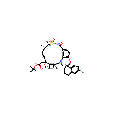 C[C@@H]1[C@@H](C)C/C=C/[C@@](O)(CC(=O)OC(C)(C)C)[C@@H]2CC[C@H]2CN2C[C@@]3(CCCc4cc(Cl)ccc43)COc3ccc(cc32)C(=O)NS1(=O)=O